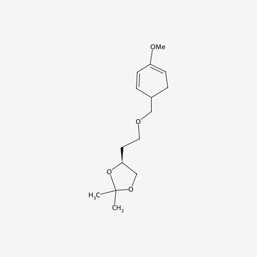 COC1=CCC(COCC[C@H]2COC(C)(C)O2)C=C1